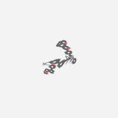 N#Cc1cccc(-c2cccc(-c3nc(-c4ccccc4)nc(-c4ccc(-c5ccc6c(c5)-c5cccc7cccc-6c57)cc4)n3)c2)c1-c1ccc(-c2cccc3c2ccc2ccccc23)cc1